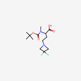 CN(C(=O)OC(C)(C)C)C(CCN1CC(F)(F)C1)C(=O)O